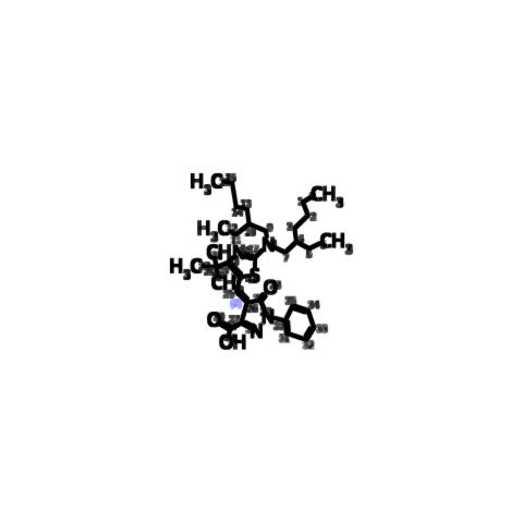 CCCCC(CC)CN(CC(CC)CCCC)c1nc(C(C)(C)C)c(/C=C2\C(=O)N(c3ccccc3)N=C2C(=O)O)s1